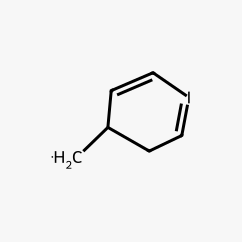 [CH2]C1C=CI=CC1